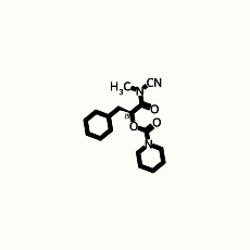 CN(C#N)C(=O)[C@H](CC1CCCCC1)OC(=O)N1CCCCC1